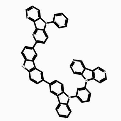 c1ccc(-n2c3cccnc3c3nc(-c4ccc5oc6ccc(-c7ccc8c(c7)c7ccccc7n8-c7cccc(-n8c9ccncc9c9cnccc98)c7)cc6c5c4)ccc32)cc1